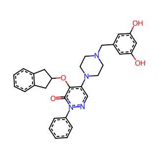 O=c1c(OC2Cc3ccccc3C2)c(N2CCN(Cc3cc(O)cc(O)c3)CC2)cnn1-c1ccccc1